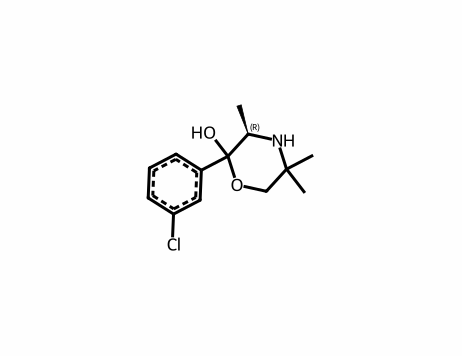 C[C@H]1NC(C)(C)COC1(O)c1cccc(Cl)c1